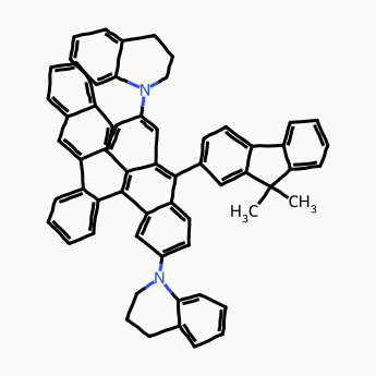 CC1(C)c2ccccc2-c2ccc(-c3c4cc(N5CCCc6ccccc65)ccc4c(-c4ccccc4-c4ccc5ccccc5c4)c4cc(N5CCCc6ccccc65)ccc34)cc21